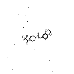 O=C(N1CCC(NCc2cc3c(cn2)OCCO3)CC1)C(F)(F)F